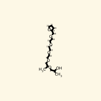 CC(O)COC(C)COCCOCCOCCOCC1CCCO1